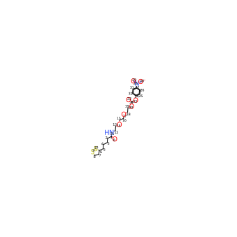 O=C(CCCCC1CCSS1)NCCOCCOCCOC(=O)Oc1ccc([N+](=O)[O-])cc1